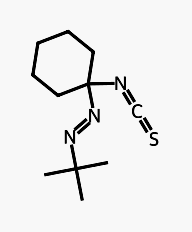 CC(C)(C)N=NC1(N=C=S)CCCCC1